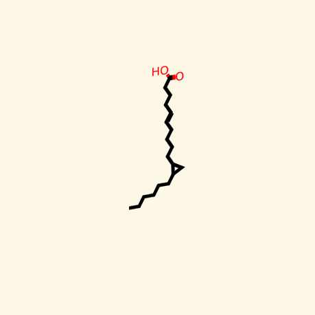 CCCCCCC1CC1CCCC/C=C/CCCC(=O)O